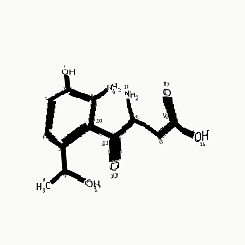 CC(O)c1ccc(O)c(N)c1C(=O)C(N)CC(=O)O